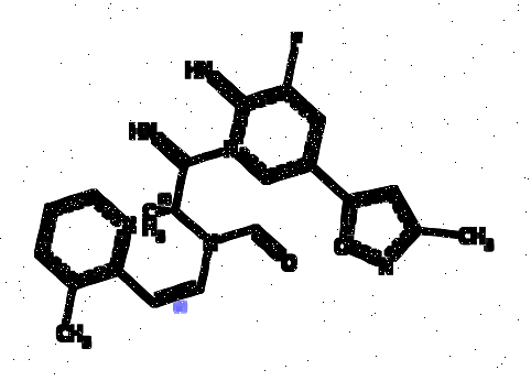 Cc1cc(-c2cc(F)c(=N)n(C(=N)[C@@H](C)N(C=O)/C=C\c3ncccc3C)c2)on1